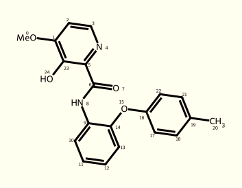 COc1ccnc(C(=O)Nc2ccccc2Oc2ccc(C)cc2)c1O